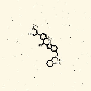 CN/C=C(\C=N)c1ccc(N)c(C(=N)c2cc3cc(CN(C)CC4CCCCN4C)ccc3[nH]2)c1